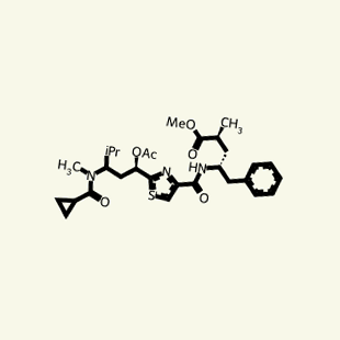 COC(=O)[C@@H](C)C[C@H](Cc1ccccc1)NC(=O)c1csc([C@@H](CC(C(C)C)N(C)C(=O)C2CC2)OC(C)=O)n1